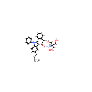 CC(C(=O)c1cn(-c2ccccc2)c2ccc(CCC(=O)O)cc12)c1ccccc1.NC(CO)(CO)CO